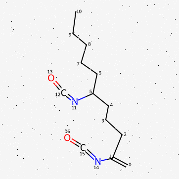 C=C(CCCC(CCCCC)N=C=O)N=C=O